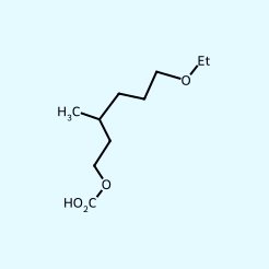 CCOCCCC(C)CCOC(=O)O